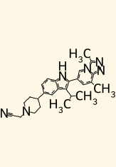 Cc1cc(-c2[nH]c3ccc(C4CCN(CC#N)CC4)cc3c2C(C)C)cn2c(C)nnc12